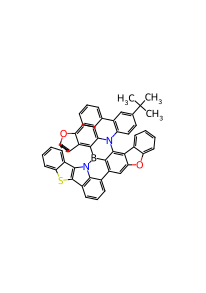 CC(C)(C)c1ccc(N2c3ccc4oc5ccccc5c4c3B3c4c(cc5oc6ccccc6c5c42)-c2cccc4c5sc6ccccc6c5n3c24)c(-c2ccccc2)c1